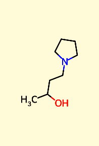 CC(O)CCN1CCCC1